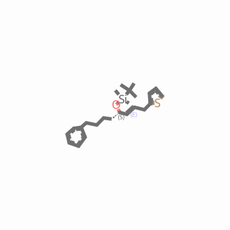 CC(C)(C)[Si](C)(C)O[C@H](/C=C/Cc1cccs1)CCCCc1ccccc1